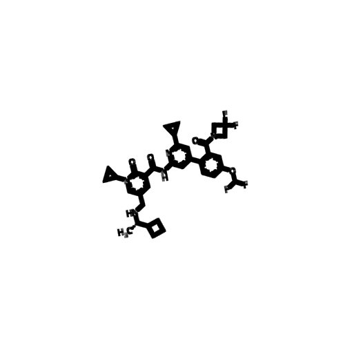 C[C@H](NCc1cc(C(=O)Nc2cc(-c3ccc(OC(F)F)cc3C(=O)N3CC(F)(F)C3)cc(C3CC3)n2)c(=O)n(C2CC2)c1)C1CCC1